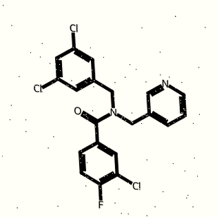 O=C(c1ccc(F)c(Cl)c1)N(Cc1cccnc1)Cc1cc(Cl)cc(Cl)c1